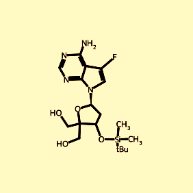 CC(C)(C)[Si](C)(C)OC1C[C@H](n2cc(F)c3c(N)ncnc32)OC1(CO)CO